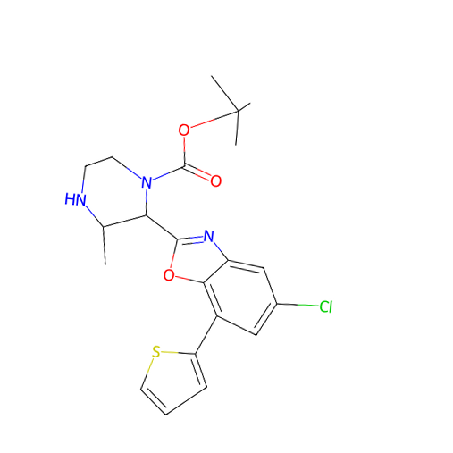 CC1NCCN(C(=O)OC(C)(C)C)C1c1nc2cc(Cl)cc(-c3cccs3)c2o1